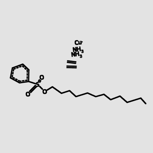 C=C.C=C.CCCCCCCCCCCCOS(=O)(=O)c1ccccc1.N.N.[Cu]